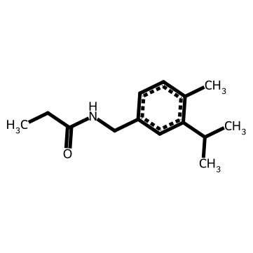 CCC(=O)NCc1ccc(C)c(C(C)C)c1